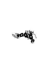 Cc1cc(N2CCOCC2)cc2c1Nc1c(C)cc(N3CCN(C(=O)OC(C)(C)C)CC3)cc1S2